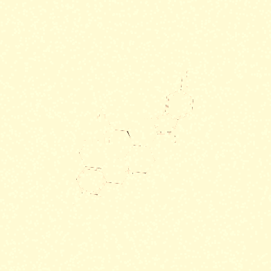 Cc1cc(CC(=O)O)cc(CN2CCN(c3nc4ccc(C(F)(F)F)cc4s3)[C@H](COC(C)C)C2)c1